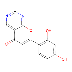 O=c1cc(-c2ccc(O)cc2O)oc2ncncc12